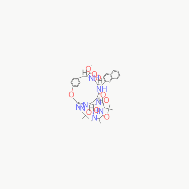 COC(=O)[C@@H]1Cc2ccc(cc2)OCc2cn(nn2)[C@H]2C[C@@H](C(=O)N[C@@H](Cc3ccc4ccccc4c3)C(=O)N1)N(C(=O)[C@@H](NC(=O)[C@@H](C)N(C)C(=O)OC(C)(C)C)C(C)(C)C)C2